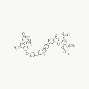 CCOc1cc([C@@H](CS(C)(=O)=O)N2C(=O)c3cnc(N4CCN([C@@H]5CCN(Cc6ccc(Oc7ccc8c([C@@]9(C)CCC(=O)NC9=O)nn(C)c8c7)cc6)CC5(F)F)CC4)cc3C2=O)ccc1OC